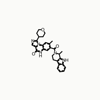 Cc1cc2c(cc1C(=O)N1CCc3c([nH]c4ccccc34)C1C)[nH]c(=O)c1cnc(C3CCOCC3)n12